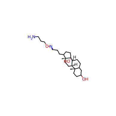 C[C@]12CCC(O)CC1CC[C@@H]1[C@H]2CC[C@]2(C)C(CC/C=N/OCCCN)CC[C@@]12O